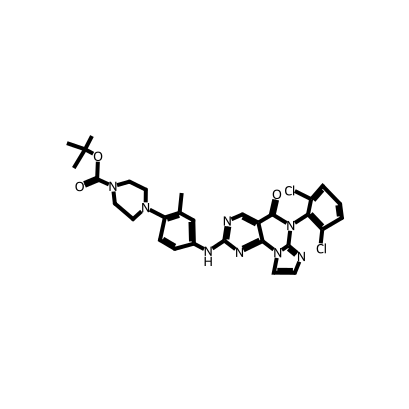 Cc1cc(Nc2ncc3c(=O)n(-c4c(Cl)cccc4Cl)c4nccn4c3n2)ccc1N1CCN(C(=O)OC(C)(C)C)CC1